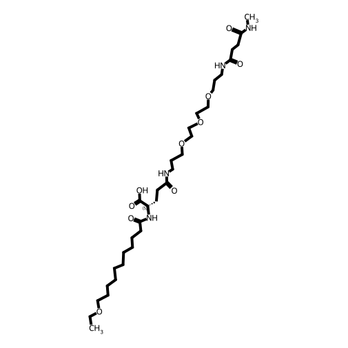 CCOCCCCCCCCCCC(=O)N[C@@H](CCC(=O)NCCCOCCOCCOCCCNC(=O)CCC(=O)NC)C(=O)O